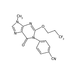 Cn1cnc2c(=O)n(-c3ccc(C#N)cc3)c(OCCC(F)(F)F)nc21